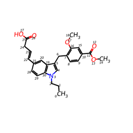 CCCn1cc(Cc2ccc(C(=O)OC)cc2OC)c2cc(C=CCC(=O)O)ccc21